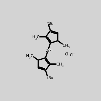 CC1=[C]([Zr+2][C]2=C(C)C(C(C)(C)C)=CC2C)C(C)C=C1C(C)(C)C.[Cl-].[Cl-]